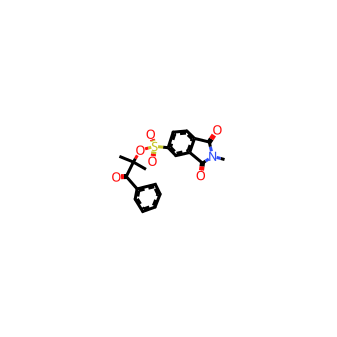 CN1C(=O)c2ccc(S(=O)(=O)OC(C)(C)C(=O)c3ccccc3)cc2C1=O